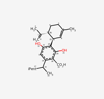 C=C(C)[C@@H]1CCC(C)=C[C@H]1c1c(O)cc(C(C)C(C)CCC)c(C(=O)O)c1O